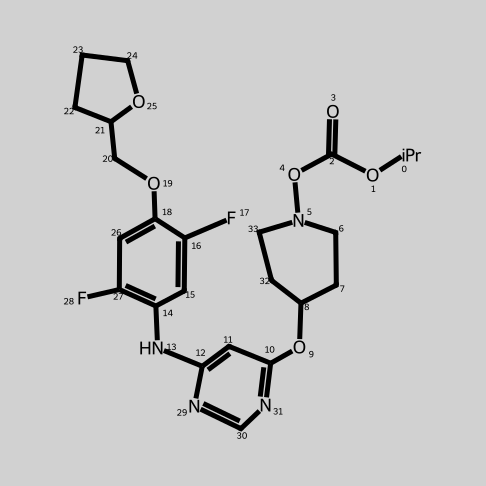 CC(C)OC(=O)ON1CCC(Oc2cc(Nc3cc(F)c(OCC4CCCO4)cc3F)ncn2)CC1